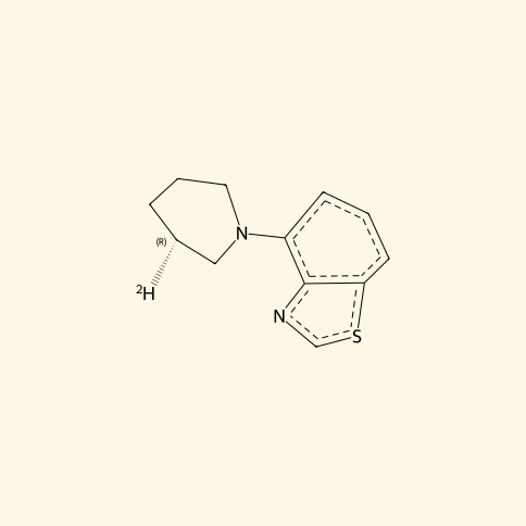 [2H][C@@H]1CCCN(c2cccc3scnc23)C1